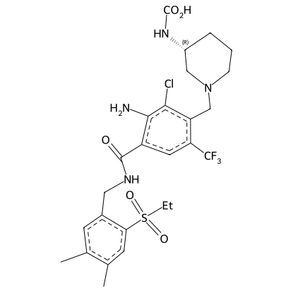 CCS(=O)(=O)c1cc(C)c(C)cc1CNC(=O)c1cc(C(F)(F)F)c(CN2CCC[C@@H](NC(=O)O)C2)c(Cl)c1N